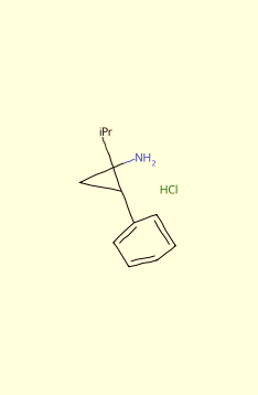 CC(C)C1(N)CC1c1ccccc1.Cl